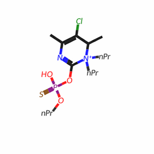 CCCOP(O)(=S)OC1=NC(C)=C(Cl)C(C)[N+]1(CCC)CCC